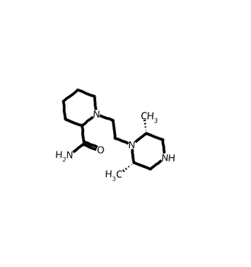 C[C@@H]1CNC[C@H](C)N1CCN1CCCCC1C(N)=O